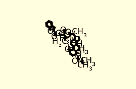 CC1=C(COC(=O)c2cc3ccccc3o2)C(=O)O[C@@H]([C@@H](C)[C@H]2CC[C@H]3[C@@H]4C[C@H]5O[C@]56[C@@H](OC(=O)N(C)C)C=CC(=O)[C@]6(C)[C@H]4CC[C@]23C)C1